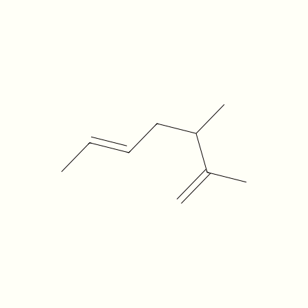 C=C(C)C(C)C/C=C/C